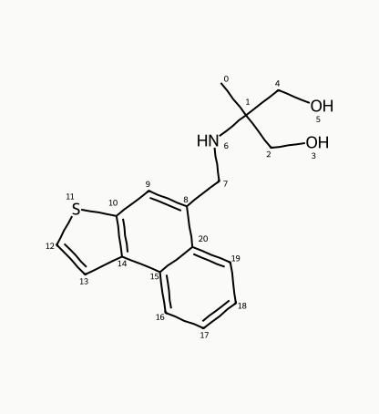 CC(CO)(CO)NCc1cc2sccc2c2ccccc12